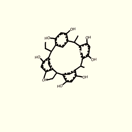 CCC1c2cc(c(O)cc2O)C(C)c2cc(c(O)cc2O)C(C)c2cc(c(O)cc2O)C(CC)c2cc1c(O)cc2O